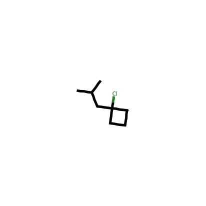 CC(C)CC1(Cl)[CH]CC1